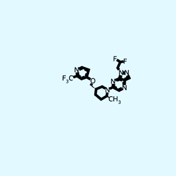 C[C@@H]1CC[C@H](COc2ccnc(C(F)(F)F)c2)CN1c1cnc2cnn(CC(F)F)c2n1